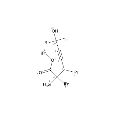 CC(C)OC(=O)C([SiH3])(C(C)C)C(C#CC(C)(C)O)C(C)C